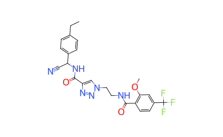 CCc1ccc(C(C#N)NC(=O)c2cn(CCNC(=O)c3ccc(C(F)(F)F)cc3OC)nn2)cc1